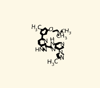 Cc1cc(OCCN(C)C)cc(-c2ccc3[nH]nc(-c4nc5c(-n6cnc(C)c6)cncc5[nH]4)c3n2)c1